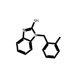 Cc1ccccc1Cn1c(S)nc2ccccc21